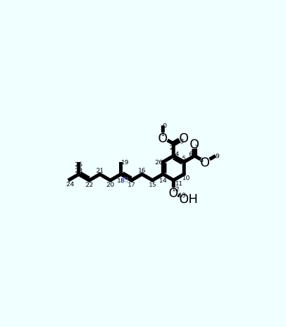 COC(=O)C1=C(C(=O)OC)CC(OO)C(CC/C=C(\C)CCC=C(C)C)=C1